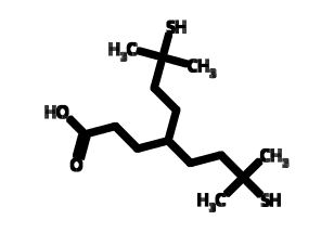 CC(C)(S)CCC(CCC(=O)O)CCC(C)(C)S